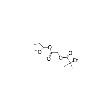 CCC(C)(C)C(=O)OCC(=O)OC1CCCO1